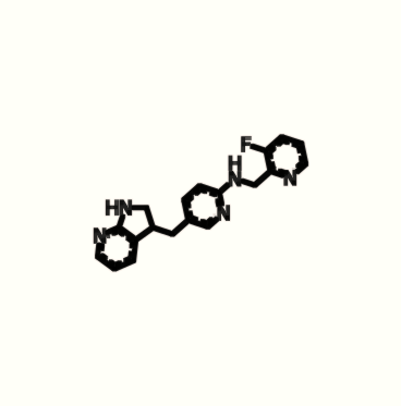 Fc1cccnc1CNc1ccc(CC2CNc3ncccc32)cn1